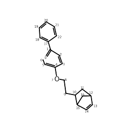 C=C(/C=C\C(=C/C)OCCC1CC2C=CC1C2)c1ccccc1